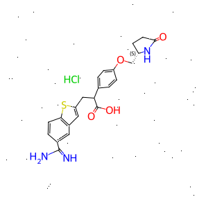 Cl.N=C(N)c1ccc2sc(CC(C(=O)O)c3ccc(OC[C@@H]4CCC(=O)N4)cc3)cc2c1